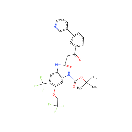 CC(C)(C)OC(=O)Nc1cc(OCC(F)(F)F)c(C(F)(F)F)cc1NC(=O)CC(=O)c1cccc(-c2cccnc2)c1